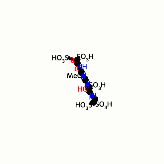 COc1cc(C(=O)Nc2ccc3c(OCCCS(=O)(=O)O)cc(S(=O)(=O)O)cc3c2)ccc1N=Nc1ccc(N=Nc2c(S(=O)(=O)O)cc3cc(-n4nc5ccc6c(S(=O)(=O)O)cc(S(=O)(=O)O)cc6c5n4)ccc3c2O)cc1C